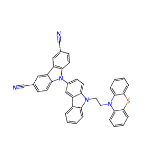 N#Cc1ccc2c(c1)c1cc(C#N)ccc1n2-c1ccc2c(c1)c1ccccc1n2CCN1c2ccccc2Sc2ccccc21